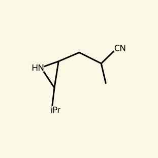 CC(C#N)CC1NC1C(C)C